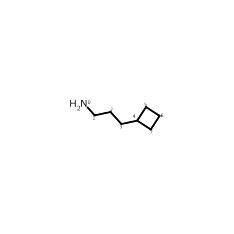 NCCCC1CCC1